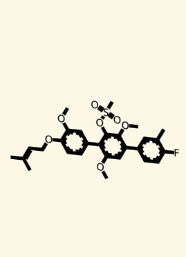 COc1cc(-c2c(OC)cc(-c3ccc(F)c(C)c3)c(OC)c2OS(C)(=O)=O)ccc1OCC=C(C)C